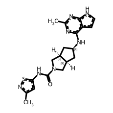 Cc1cc(NC(=O)N2C[C@H]3C[C@@H](Nc4nc(C)nc5[nH]ccc45)C[C@H]3C2)sn1